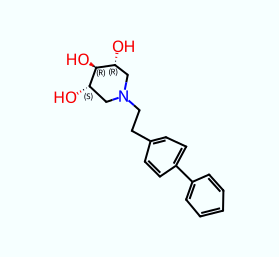 O[C@H]1[C@H](O)CN(CCc2ccc(-c3ccccc3)cc2)C[C@@H]1O